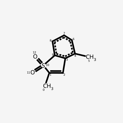 CC1=Cc2c(C)cccc2S1(=O)=O